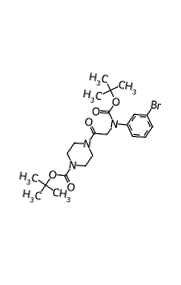 CC(C)(C)OC(=O)N1CCN(C(=O)CN(C(=O)OC(C)(C)C)c2cccc(Br)c2)CC1